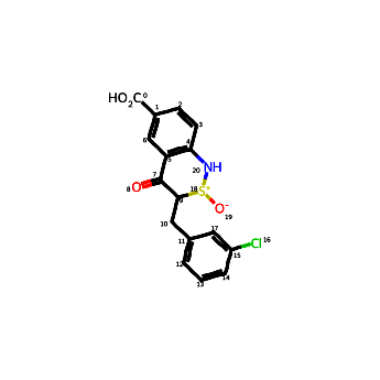 O=C(O)c1ccc2c(c1)C(=O)C(Cc1cccc(Cl)c1)[S+]([O-])N2